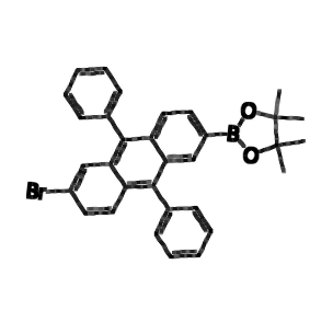 CC1(C)OB(c2ccc3c(-c4ccccc4)c4cc(Br)ccc4c(-c4ccccc4)c3c2)OC1(C)C